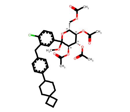 COC1(c2ccc(Cl)c(Cc3ccc(C4CCC5(CCC5)CC4)cc3)c2)O[C@H](COC(C)=O)[C@@H](OC(C)=O)[C@H](OC(C)=O)[C@H]1OC(C)=O